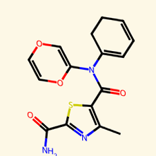 Cc1nc(C(N)=O)sc1C(=O)N(C1=CC=CCC1)C1=COC=CO1